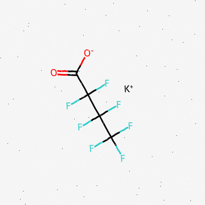 O=C([O-])C(F)(F)C(F)(F)C(F)(F)F.[K+]